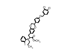 CCCN(c1ccccc1I)C(Cc1ccc2c(c1)OCC(c1ccc(OCc3ccc(Cl)c(Cl)c3)cc1)O2)C(=O)OC